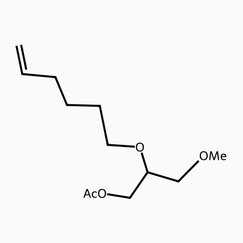 C=CCCCCOC(COC)COC(C)=O